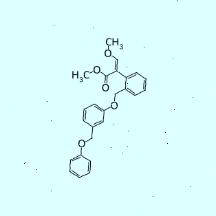 COC=C(C(=O)OC)c1ccccc1COc1cccc(COc2ccccc2)c1